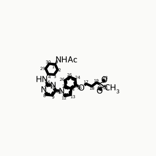 CC(=O)N[C@H]1CC[C@H](Nc2nccc(-n3ccc4c(OCCCS(C)(=O)=O)cccc43)n2)CC1